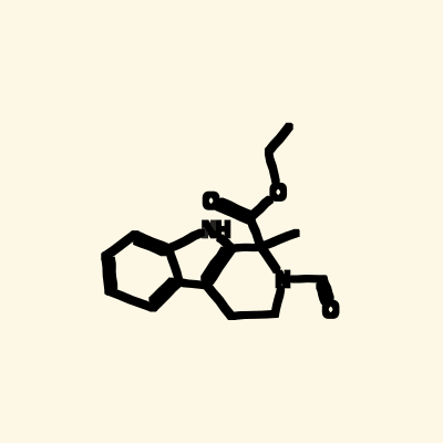 CCOC(=O)C1(C)c2[nH]c3ccccc3c2CCN1C=O